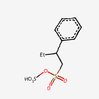 CCC(CS(=O)(=O)OS(=O)(=O)O)c1ccccc1